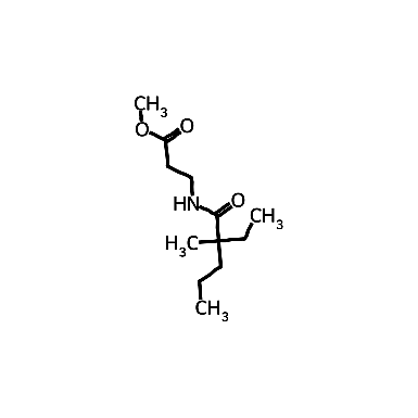 CCCC(C)(CC)C(=O)NCCC(=O)OC